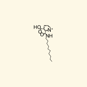 CCCCCCCCCCNC(=O)c1c(C(=O)O)ccc[n+]1C